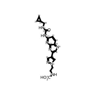 O=C(O)NCCn1cc(-c2cnc3ccc(NC(=O)NCC4CC4)nc3n2)cn1